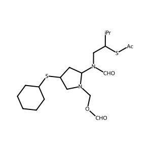 CC(=O)SC(CN(C=O)C1CC(SC2CCCCC2)CN1COC=O)C(C)C